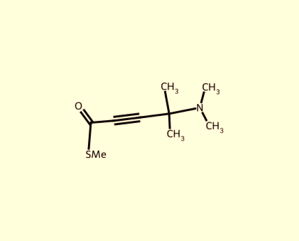 CSC(=O)C#CC(C)(C)N(C)C